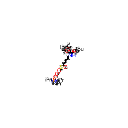 CC(C)N(C(C)C)P(OCOCOCSC(=O)CCCCCNC(CO[Si](C)(C)C(C)(C)C)(CO[Si](C)(C)C(C)(C)C)CO[Si](C)(C)C(C)(C)C)N(C(C)C)C(C)C